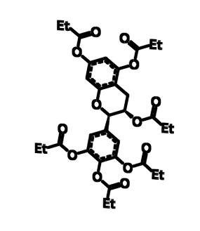 CCC(=O)Oc1cc(OC(=O)CC)c2c(c1)O[C@H](c1cc(OC(=O)CC)c(OC(=O)CC)c(OC(=O)CC)c1)[C@H](OC(=O)CC)C2